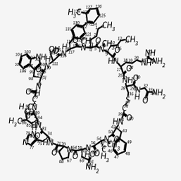 CCCC[C@H]1C(=O)N(C)[C@@H](CCCC)C(=O)NC(CCCNC(=N)N)C(=O)NC(C(=O)NCC(N)=O)CSCC(=O)N[C@@H](Cc2ccccc2)C(=O)N(C)[C@@H](C)C(=O)N[C@@H](CC(N)=O)C(=O)N2CCCC2C(=O)N[C@@H](Cc2cnc[nH]2)C(=O)N[C@@H](CC(C)C)C(=O)N(C)CC(=O)N[C@@H](Cc2c[nH]c3ccccc23)C(=O)NC(CO)C(=O)N[C@@H](Cc2ccc(-c3ccccc3C)cc2)C(=O)N1C